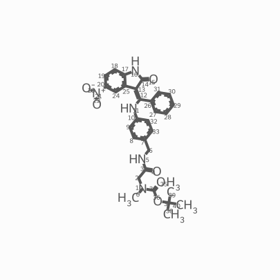 CN(CC(=O)NCc1ccc(NC(=C2C(=O)Nc3ccc([N+](=O)[O-])cc32)c2ccccc2)cc1)C(=O)OC(C)(C)C